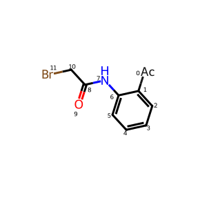 CC(=O)c1ccccc1NC(=O)CBr